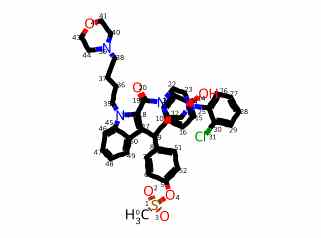 CS(=O)(=O)Oc1ccc(C(c2ccc(O)cc2)c2c(C(=O)N3CCN(c4ccccc4Cl)CC3)n(CCCCN3CCOCC3)c3ccccc23)cc1